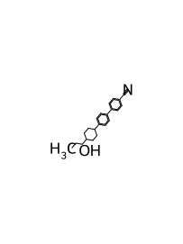 CCC(O)C1CCC(c2ccc(-c3ccc(C#N)cc3)cc2)CC1